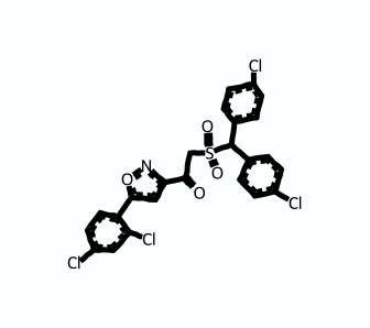 O=C(CS(=O)(=O)C(c1ccc(Cl)cc1)c1ccc(Cl)cc1)c1cc(-c2ccc(Cl)cc2Cl)on1